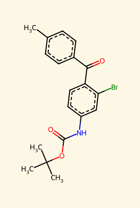 Cc1ccc(C(=O)c2ccc(NC(=O)OC(C)(C)C)cc2Br)cc1